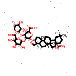 CC1(C)CC[C@@]2(C(=O)O)C(C1)C1=CCC3C4(C)CC[C@H](O[C@@H]5OC(C(=O)O)[C@@H](O)C(O[C@@H]6OC[C@@H](O)C(O)[C@@H]6O)[C@@H]5O[C@@H]5OC(CO)[C@H](O)C(O)[C@@H]5O)[C@](C)(C=O)C4CC[C@@]3(C)C1(C)C[C@H]2O